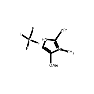 CCCc1[nH]cc(OC)[n+]1C.F[B-](F)(F)F